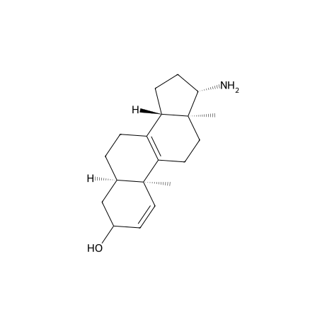 C[C@]12CCC3=C(CC[C@@H]4CC(O)C=C[C@]34C)[C@@H]1CC[C@@H]2N